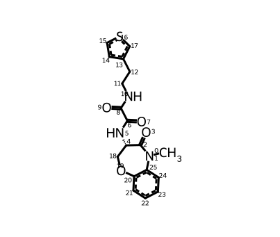 CN1C(=O)[C@@H](NC(=O)C(=O)NCCc2ccsc2)COc2ccccc21